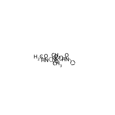 C=CC(=O)NC1CC(C)N(S(=O)(=O)c2ccc(C(=O)NCc3ccccc3)cc2)C(C)C1